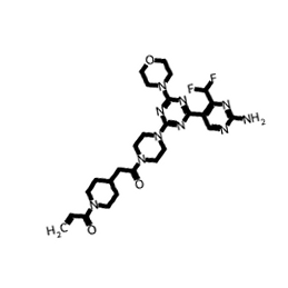 C=CC(=O)N1CCC(CC(=O)N2CCN(c3nc(-c4cnc(N)nc4C(F)F)nc(N4CCOCC4)n3)CC2)CC1